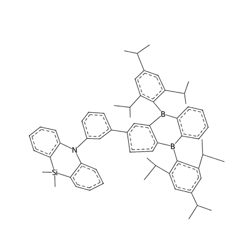 CC(C)c1cc(C(C)C)c(B2c3ccccc3B(c3c(C(C)C)cc(C(C)C)cc3C(C)C)c3cc(-c4cccc(N5c6ccccc6[Si](C)(C)c6ccccc65)c4)ccc32)c(C(C)C)c1